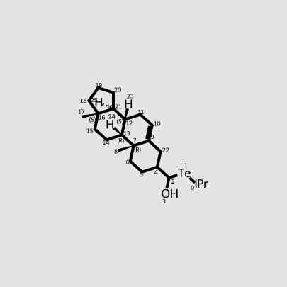 CC(C)[Te]C(O)C1CC[C@@]2(C)C(=CC[C@@H]3[C@H]2CC[C@]2(C)CCC[C@@H]32)C1